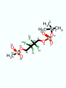 C[Si](C)(C)OS(=O)(=O)OCC(F)(F)C(F)(F)COS(C)(=O)=O